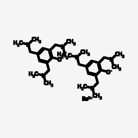 CN(C)Cc1cc(CN(C)C)c([O-])c(CN(C)C)c1.CN(C)Cc1cc(CN(C)C)c([O-])c(CN(C)C)c1.[Ba+2]